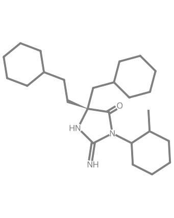 CC1CCCCC1N1C(=N)N[C@](CCC2CCCCC2)(CC2CCCCC2)C1=O